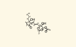 CCCCC1(O)C=CC(=O)C1=CC=C[C@H](OC(C)=O)[C@H](O)COC(C)=O